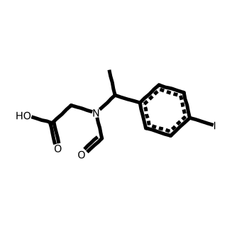 CC(c1ccc(I)cc1)N(C=O)CC(=O)O